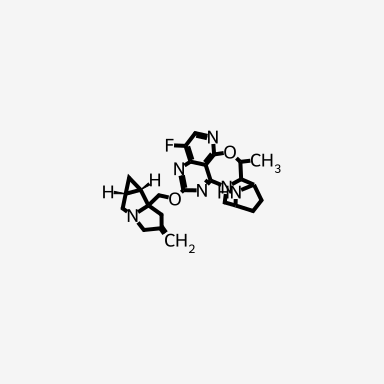 C=C1CN2C[C@@H]3C[C@@H]3C2(COc2nc3c4c(ncc(F)c4n2)OC(C)C2C4CCC(CN32)N4)C1